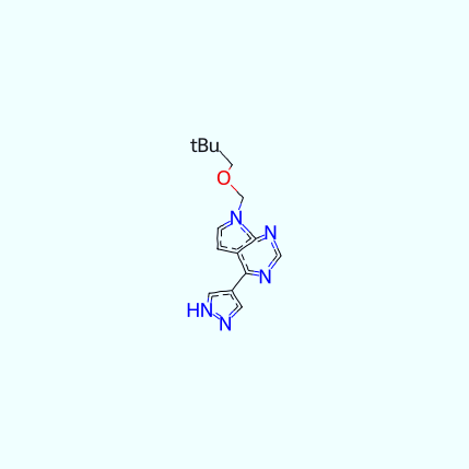 CC(C)(C)COCn1ccc2c(-c3cn[nH]c3)ncnc21